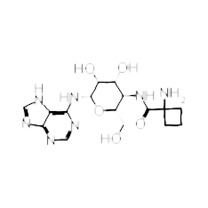 NC1(C(=O)N[C@@H]2[C@@H](O)[C@H](O)[C@@H](Nc3ncnc4nc[nH]c34)O[C@H]2CO)CCC1